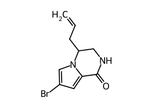 C=CCC1CNC(=O)c2cc(Br)cn21